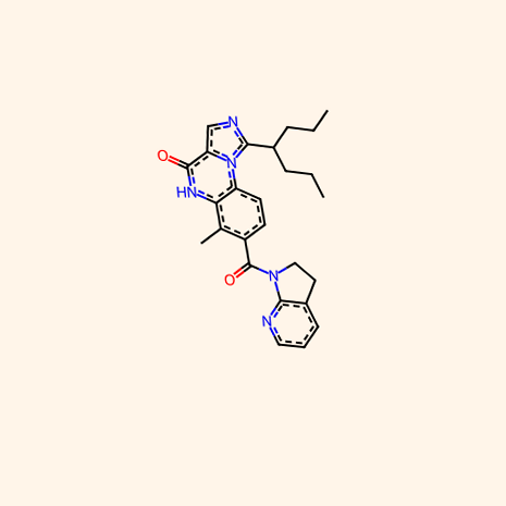 CCCC(CCC)c1ncc2c(=O)[nH]c3c(C)c(C(=O)N4CCc5cccnc54)ccc3n12